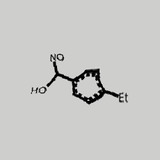 CCc1ccc(C(O)N=O)cc1